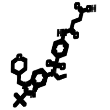 CCN(c1ccc2c(c1)nc(C(C)(C)C)n2CC1CCOCC1)S(=O)(=O)c1ccc(NC(=O)CCC(=O)O)cc1